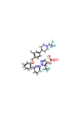 Cc1cc(C2CCN(CC(F)(F)F)CC2)ccc1COc1cc(F)ccc1-c1cccc(-n2ncc(OC(=O)O)c2C(F)(F)F)n1